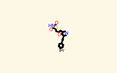 CC(C)c1ccc(C#Cc2cncc3cc(/C=C4\SC(=O)NC4=O)oc23)cc1